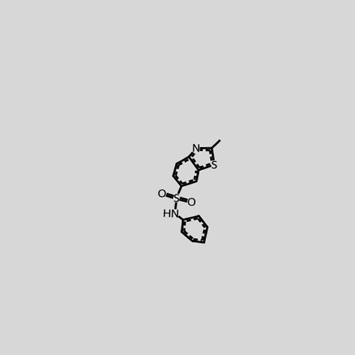 Cc1nc2ccc(S(=O)(=O)Nc3ccccc3)cc2s1